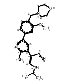 COc1cc(-c2cnc(N)c(/C(=C/NC(C)C)N=N)c2)ccc1CN1CCOCC1